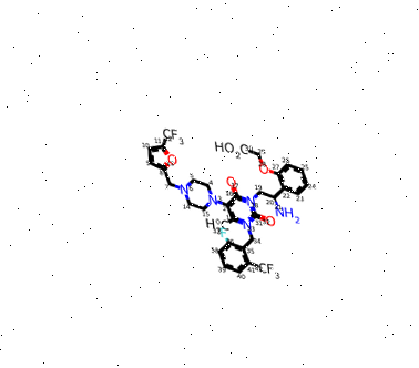 Cc1c(N2CCN(Cc3ccc(C(F)(F)F)o3)CC2)c(=O)n(C[C@H](N)c2ccccc2OCC(=O)O)c(=O)n1Cc1c(F)cccc1C(F)(F)F